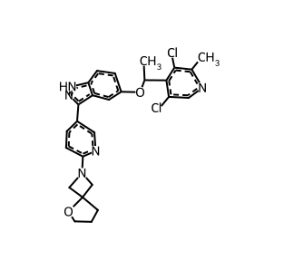 Cc1ncc(Cl)c(C(C)Oc2ccc3[nH]nc(-c4ccc(N5CC6(CCCO6)C5)nc4)c3c2)c1Cl